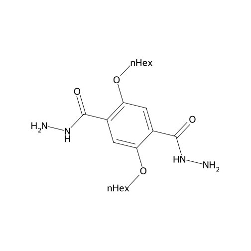 CCCCCCOc1cc(C(=O)NN)c(OCCCCCC)cc1C(=O)NN